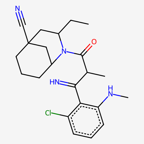 CCC1CC2(C#N)CCCC(C2)N1C(=O)C(C)C(=N)c1c(Cl)cccc1NC